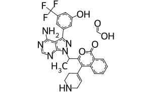 CC(c1oc(=O)c2ccccc2c1C1=CCNCC1)n1nc(-c2cc(O)cc(C(F)(F)F)c2)c2c(N)ncnc21.O=CO